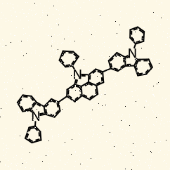 c1ccc(-n2c3ccccc3c3cc(-c4cc5ccc6cc(-c7ccc8c(c7)c7ccccc7n8-c7ccccc7)cc7c6c5c(c4)n7-c4ccccc4)ccc32)cc1